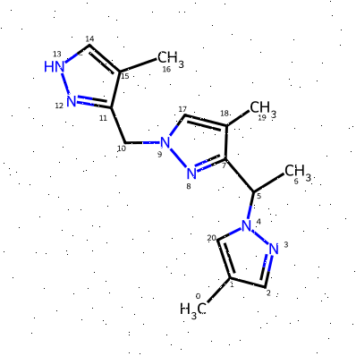 Cc1cnn(C(C)c2nn(Cc3n[nH]cc3C)cc2C)c1